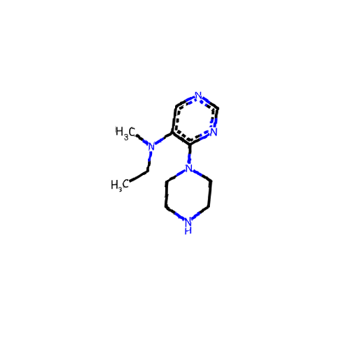 CCN(C)c1cncnc1N1CCNCC1